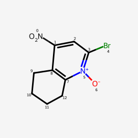 O=[N+]([O-])c1cc(Br)[n+]([O-])c2c1CCCC2